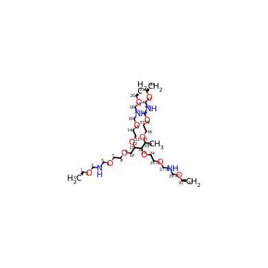 C=COCNCOCCOCC(OCCOCNCOC=C)C(OCCOCNCOC=C)C(C)OCCOCNCOC=C